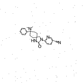 CN(C)C1(c2ccccc2)CCC2(CC1)CN(c1ccc(C#N)cn1)C(=O)N2